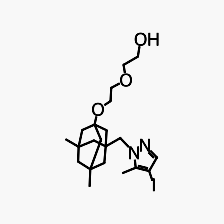 Cc1c(I)cnn1CC12CC3(C)CC(C)(C1)CC(OCCOCCO)(C3)C2